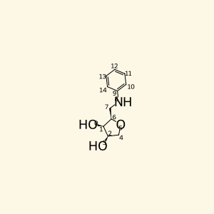 O[C@@H]1[C@H](O)CO[C@@H]1CNc1ccccc1